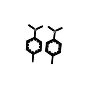 Cc1ccc(N(C)C)cc1.Cc1ccc(N(C)C)cc1